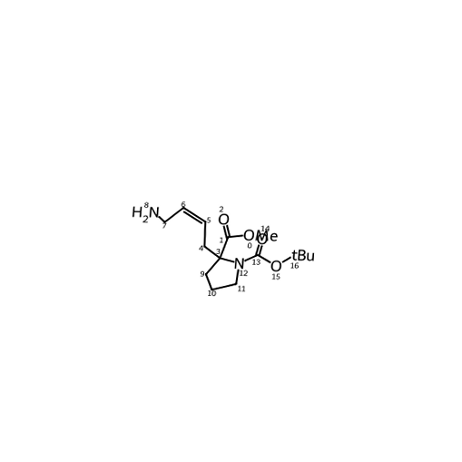 COC(=O)C1(C/C=C\CN)CCCN1C(=O)OC(C)(C)C